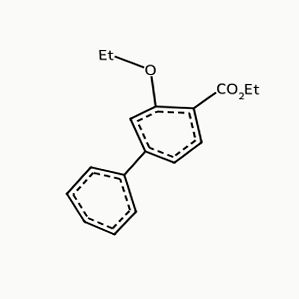 CCOC(=O)c1ccc(-c2ccccc2)cc1OCC